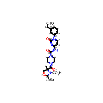 CCCCC1OCC(C)(C(=O)N2CCN(C(=O)Nc3ccn(-c4cccc(CC=O)c4)c(=O)n3)CC2)N1C(=O)O